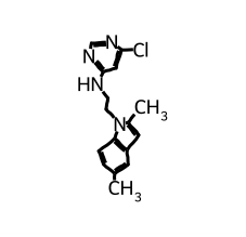 Cc1ccc2c(c1)cc(C)n2CCNc1cc(Cl)ncn1